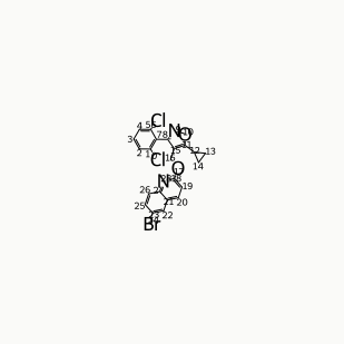 Clc1cccc(Cl)c1-c1noc(C2CC2)c1COc1ccc2cc(Br)ccc2n1